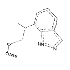 COOCC(C)c1cccc2cn[nH]c12